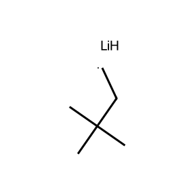 [CH2]CC(C)(C)C.[LiH]